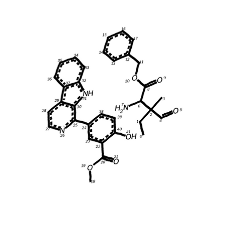 CCC(C)(C=O)C(N)C(=O)OCc1ccccc1.COC(=O)c1cc(-c2nccc3c2[nH]c2ccccc23)ccc1O